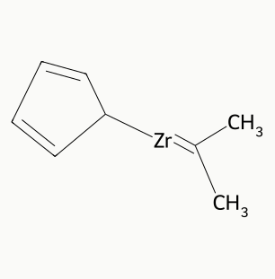 C[C](C)=[Zr][CH]1C=CC=C1